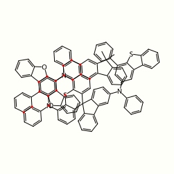 CC1(C)c2ccccc2-c2ccc(-c3ccccc3N(c3cccc4c3Sc3c(N(c5ccccc5)c5cc(-c6ccccc6)c6oc7ccccc7c6c5)cccc3C43c4ccccc4-c4cc(N(c5ccccc5)c5cc(-c6ccccc6)c6sc7ccccc7c6c5)ccc43)c3ccc(-c4ccccc4)c4oc5ccccc5c34)cc21